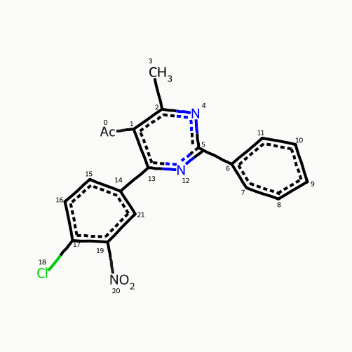 CC(=O)c1c(C)nc(-c2ccccc2)nc1-c1ccc(Cl)c([N+](=O)[O-])c1